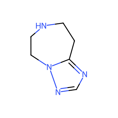 c1nc2n(n1)CCNCC2